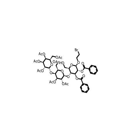 CC(=O)OC[C@H]1O[C@H](O[C@@H]2[C@H](OC(C)=O)[C@@H](OC(C)=O)[C@H](O[C@H]3[C@H](OC(=O)c4ccccc4)[C@@H](OC(=O)c4ccccc4)[C@H](OCCBr)O[C@@H]3CO)O[C@@H]2COC(C)=O)[C@H](OC(C)=O)[C@@H](OC(C)=O)[C@H]1OC(C)=O